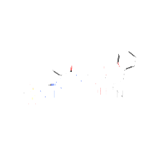 CS(=O)(=O)Nc1nc(C(=O)NCC(O)C(O)C(C#N)Cc2ccccc2)co1